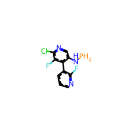 Fc1ncccc1-c1c(NP)cnc(Cl)c1F